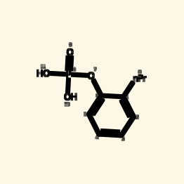 CCCc1ccccc1OP(=O)(O)O